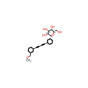 COCc1cccc(C#CC#Cc2cccc([C@H]3O[C@H](CO)[C@@H](O)[C@H](O)[C@@H]3O)c2)c1